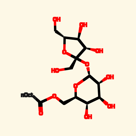 CCCCCCCCC(=O)OC[C@H]1O[C@H](O[C@]2(CO)O[C@H](CO)[C@@H](O)[C@@H]2O)[C@H](O)[C@@H](O)[C@@H]1O